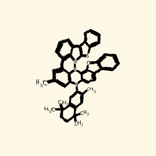 Cc1cc2c3c(c1)N(c1cc4c(cc1C)C(C)(C)CCC4(C)C)c1ccc4c(oc5ccccc54)c1B3n1c3sc4ccccc4c3c3cccc-2c31